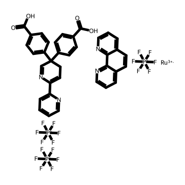 F[P-](F)(F)(F)(F)F.F[P-](F)(F)(F)(F)F.F[P-](F)(F)(F)(F)F.O=C(O)c1ccc(C2(c3ccc(C(=O)O)cc3)C=NC(c3ccccn3)=CC2)cc1.[Ru+3].c1cnc2c(c1)ccc1cccnc12